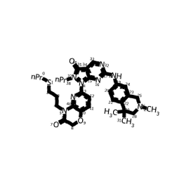 CCCSCCCN1C(=O)COc2ccc(-n3c4nc(Nc5ccc6c(c5)CN(C)CC6(C)C)ncc4c(=O)n3CCC)nc21